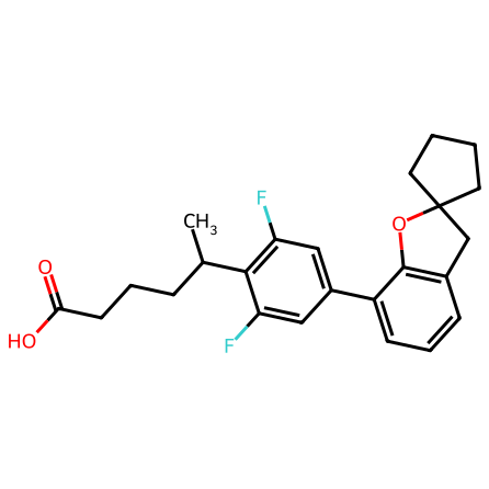 CC(CCCC(=O)O)c1c(F)cc(-c2cccc3c2OC2(CCCC2)C3)cc1F